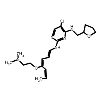 C\C=C/C(=C\C=C\Nc1ncc(Cl)c(NCC2CCCO2)n1)OCCN(C)C